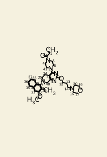 C=CC(=O)N1CCN(c2nc(OCCCN3CCOCC3)nc3c2CCN(c2c(C)c(OC)cc4ccccc24)C3)CC1